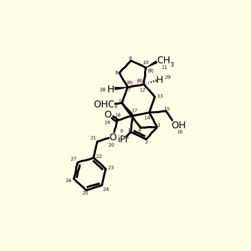 CC(C)C1=CC2CC3(C=O)[C@@H]4CC[C@@H](C)[C@H]4CC2(CO)C13C(=O)OCc1ccccc1